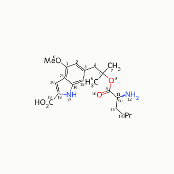 COc1cc(CC(C)(C)OC(=O)[C@@H](N)CC(C)C)cc2[nH]c(C(=O)O)cc12